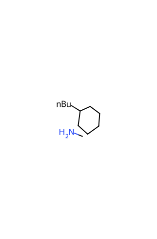 CCCCC1CCCCC1.CN